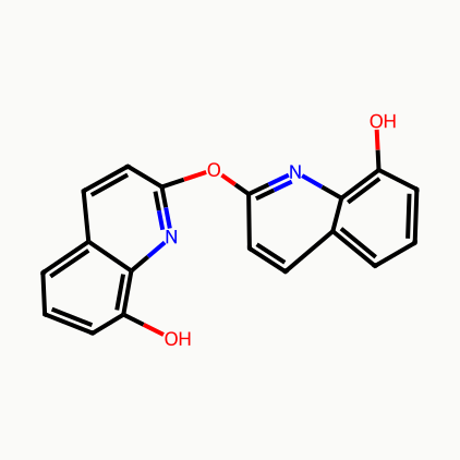 Oc1cccc2ccc(Oc3ccc4cccc(O)c4n3)nc12